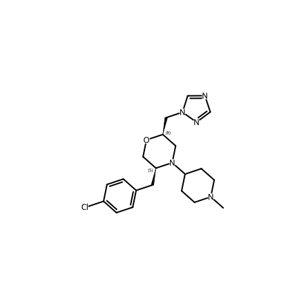 CN1CCC(N2C[C@H](Cn3cncn3)OC[C@@H]2Cc2ccc(Cl)cc2)CC1